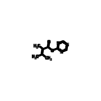 CC(C)=C(C)C(=O)Oc1ncncn1